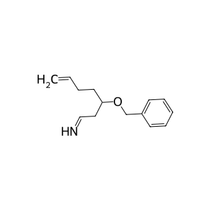 C=CCCC(CC=N)OCc1ccccc1